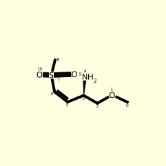 COC[C@H](N)/C=C\S(C)(=O)=O